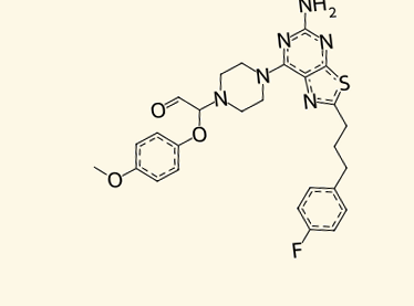 COc1ccc(OC(C=O)N2CCN(c3nc(N)nc4sc(CCCc5ccc(F)cc5)nc34)CC2)cc1